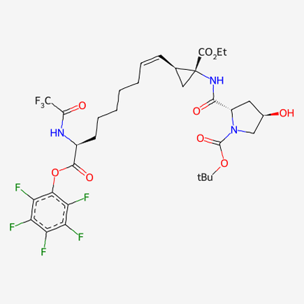 CCOC(=O)[C@@]1(NC(=O)[C@@H]2C[C@@H](O)CN2C(=O)OC(C)(C)C)C[C@H]1/C=C\CCCCC[C@H](NC(=O)C(F)(F)F)C(=O)Oc1c(F)c(F)c(F)c(F)c1F